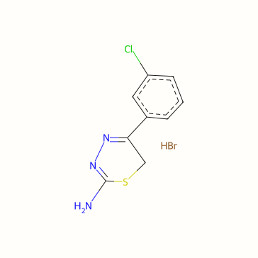 Br.NC1=NN=C(c2cccc(Cl)c2)CS1